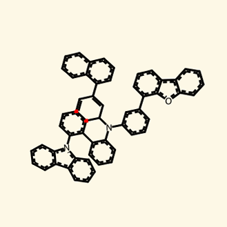 C1=CC(c2cccc3ccccc23)=CC(N(c2cccc(-c3cccc4c3oc3ccccc34)c2)c2ccccc2-c2ccccc2-n2c3ccccc3c3ccccc32)C1